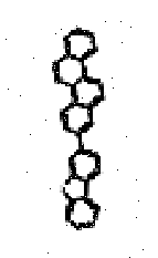 c1ccc2c(c1)ccc1c3ccc(-c4ccc5c(c4)sc4ccccc45)cc3ccc21